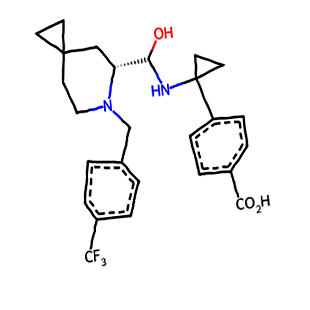 O=C(O)c1ccc(C2(NC(O)[C@H]3CC4(CCN3Cc3ccc(C(F)(F)F)cc3)CC4)CC2)cc1